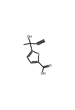 C#CC(C)(O)c1ccc(C(=O)O)s1